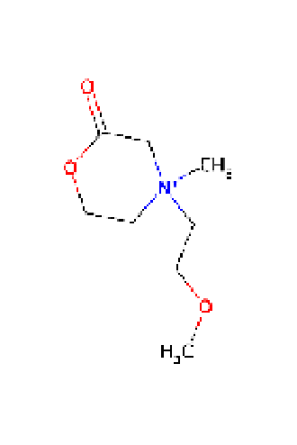 COCC[N+]1(C)CCOC(=O)C1